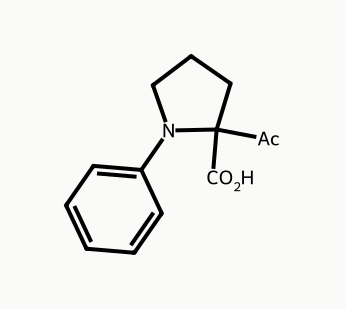 CC(=O)C1(C(=O)O)CCCN1c1ccccc1